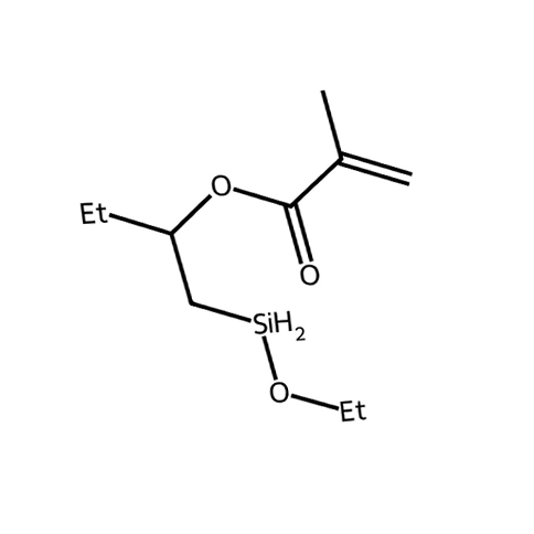 C=C(C)C(=O)OC(CC)C[SiH2]OCC